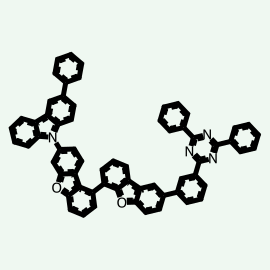 c1ccc(-c2ccc3c(c2)c2ccccc2n3-c2ccc3c(c2)oc2cccc(-c4cccc5c4oc4ccc(-c6cccc(-c7nc(-c8ccccc8)nc(-c8ccccc8)n7)c6)cc45)c23)cc1